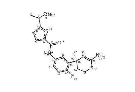 COC(C)c1ccc(C(=O)Nc2ccc(F)c([C@]3(C)CCSC(N)=N3)c2)s1